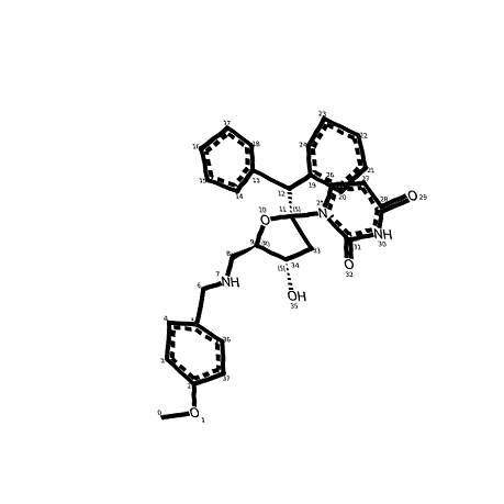 COc1ccc(CNC[C@H]2O[C@@](C(c3ccccc3)c3ccccc3)(n3ccc(=O)[nH]c3=O)C[C@@H]2O)cc1